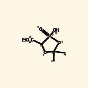 CCOC(=O)C1OC(C)(C)OP1(=O)O